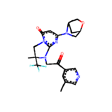 Cc1cncc(C(=O)CN2c3nc(N4CC5CC4CO5)cc(=O)n3CC2(C)C(F)(F)F)c1